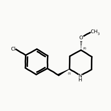 CO[C@@H]1CCN[C@@H](Cc2ccc(Cl)cc2)C1